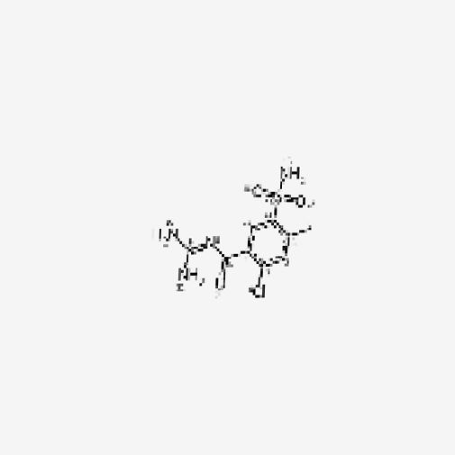 Cc1cc(Cl)c(C(=O)N=C(N)N)cc1S(N)(=O)=O